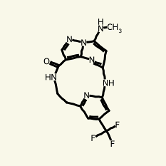 CNc1cc2nc3c(cnn13)C(=O)NCCc1cc(C(F)(F)F)cc(n1)N2